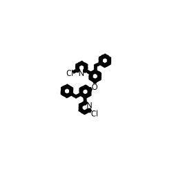 Clc1cccc(-c2cc(Oc3ccc(Cc4ccccc4)c(-c4cccc(Cl)n4)c3)ccc2Cc2ccccc2)n1